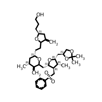 C=C1C[C@H](CCCO)OC1CC[C@H]1C[C@@H](C)C(=C)C(C[C@@H]2O[C@H](C[C@H]3COC(C)(C)O3)[C@H](C)[C@H]2CS(=O)(=O)c2ccccc2)O1